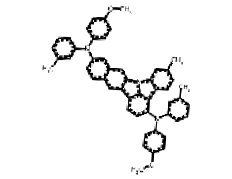 COc1ccc(N(c2cccc(C)c2)c2ccc3cc4c5ccc(N(c6ccc(OC)cc6)c6cccc(C)c6)c6c7ccc(C)cc7n(c4cc3c2)c56)cc1